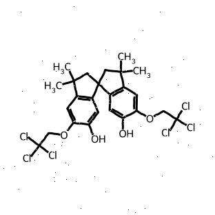 CC1(C)CC2(CC(C)(C)c3cc(OCC(Cl)(Cl)Cl)c(O)cc32)c2cc(O)c(OCC(Cl)(Cl)Cl)cc21